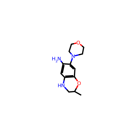 CC1CNc2cc(N)c(N3CCOCC3)cc2O1